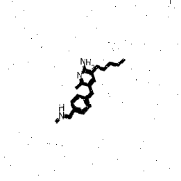 CCCCCc1cc(Cc2ccc(CNC)cc2)c(C)nc1N